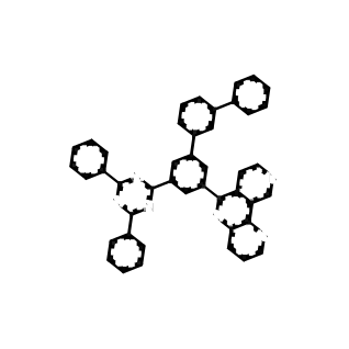 c1ccc(-c2cccc(-c3cc(-c4nc(-c5ccccc5)nc(-c5ccccc5)n4)cc(-c4nc5cccnc5c5cnccc45)c3)c2)cc1